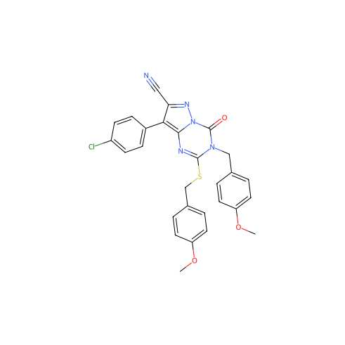 COc1ccc(CSc2nc3c(-c4ccc(Cl)cc4)c(C#N)nn3c(=O)n2Cc2ccc(OC)cc2)cc1